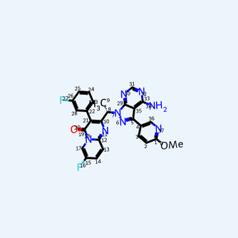 COc1ccc(-c2nn([C@@H](C)c3nc4ccc(F)cn4c(=O)c3-c3cccc(F)c3)c3ncnc(N)c23)cn1